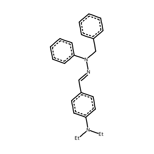 CCN(CC)c1ccc(C=NN(Cc2ccccc2)c2ccccc2)cc1